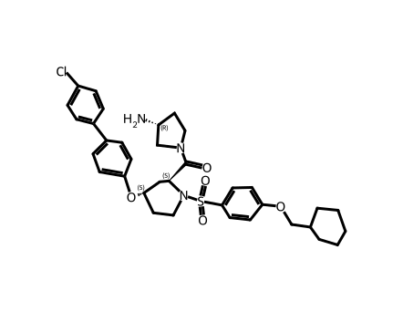 N[C@@H]1CCN(C(=O)[C@@H]2C[C@@H](Oc3ccc(-c4ccc(Cl)cc4)cc3)CCN2S(=O)(=O)c2ccc(OCC3CCCCC3)cc2)C1